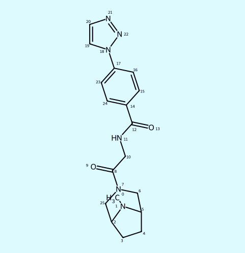 CN1C2CCC1CN(C(=O)CNC(=O)c1ccc(-n3ccnn3)cc1)C2